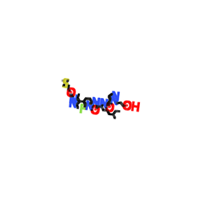 CC[C@@H](C)CCC[C@H](NC(=O)c1ccnn1CCCO)C(=O)Nc1ccc(-c2c(C)nn(COCCS(C)(C)C)c2C)c(F)n1